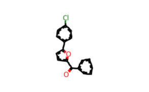 O=C(c1ccccc1)c1ccc(-c2ccc(Cl)cc2)o1